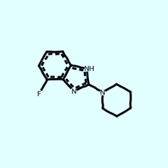 Fc1cccc2[nH]c(N3CCCCC3)nc12